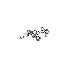 CC(=O)N1CCN(C(=O)N2CC[C@@]3(S(=O)(=O)c4ccccc4)c4ccc(OCc5c(Cl)cccc5Cl)cc4CC[C@@H]23)CC1